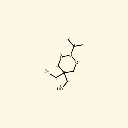 CC(C)B1OCC(CO)(CO)CO1